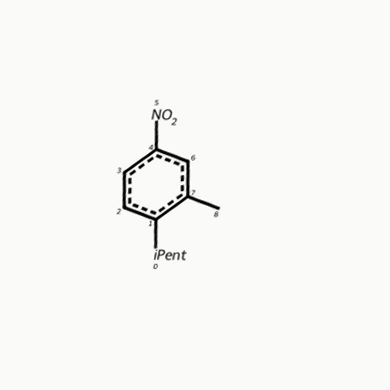 CCCC(C)c1ccc([N+](=O)[O-])cc1C